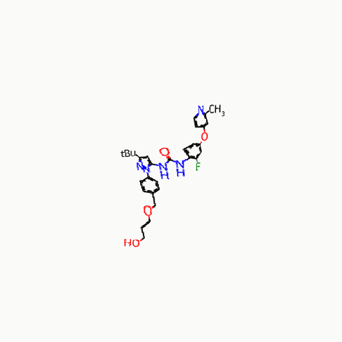 Cc1cc(Oc2ccc(NC(=O)Nc3cc(C(C)(C)C)nn3-c3ccc(COCCCO)cc3)c(F)c2)ccn1